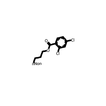 CCCCCCCCCCCCOC(=O)c1ccc(Cl)cc1Cl